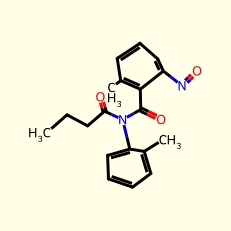 CCCC(=O)N(C(=O)c1c(C)cccc1N=O)c1ccccc1C